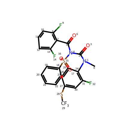 CN(C(=O)N(C(=O)c1c(F)cccc1F)S(=O)(=O)c1ccccc1)c1ccc(SC(F)(F)F)cc1F